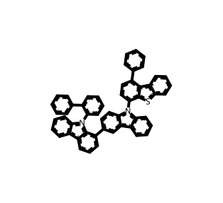 c1ccc(-c2ccccc2-n2c3ccccc3c3cccc(-c4ccc5c(c4)c4ccccc4n5-c4ccc(-c5ccccc5)c5c4sc4ccccc45)c32)cc1